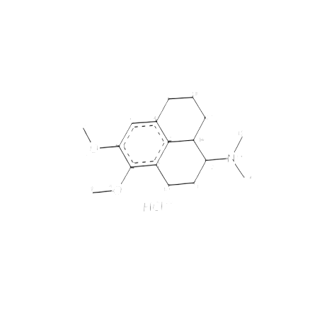 COc1cc2c3c(c1OC)CCC(N(C)C)C3CCC2.Cl